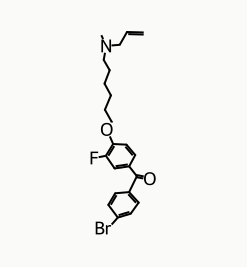 C=CCN(C)CCCCCCOc1ccc(C(=O)c2ccc(Br)cc2)cc1F